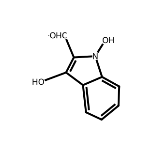 O=[C]c1c(O)c2ccccc2n1O